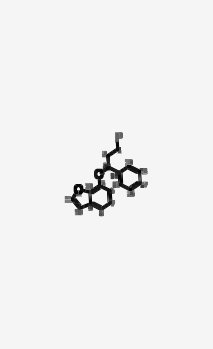 ICC[C@H](Oc1cccc2ccoc12)c1ccccc1